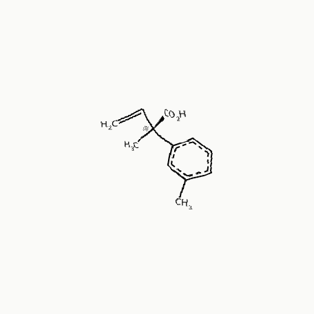 C=C[C@](C)(C(=O)O)c1cccc(C)c1